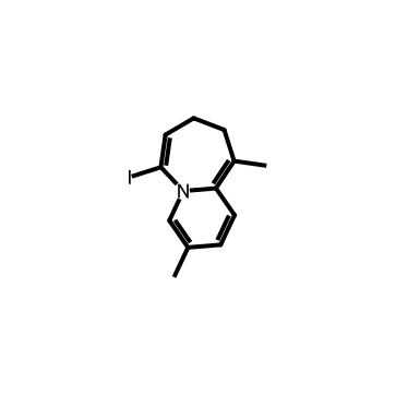 CC1=CN2C(I)=CCCC(C)=C2C=C1